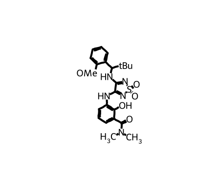 COc1ccccc1C(NC1=NS(=O)(=O)N=C1Nc1cccc(C(=O)N(C)C)c1O)C(C)(C)C